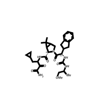 COCC(NC(=O)N[C@H](C(=O)N1CC2C([C@H]1C(=O)NC(CC1CC1)C(=O)C(N)=O)C2(C)C)C1Cc2ccccc2C1)C(C)(C)C